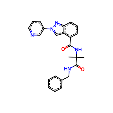 CC(C)(NC(=O)c1cccc2nn(-c3cccnc3)cc12)C(=O)NCc1ccccc1